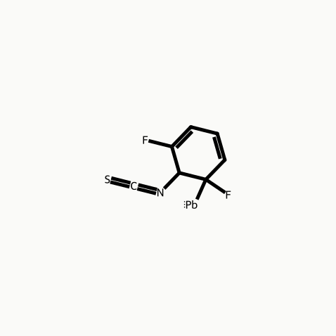 FC1=CC=C[C](F)([Pb])C1N=C=S